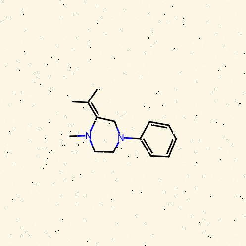 CC(C)=C1CN(c2ccccc2)CCN1C